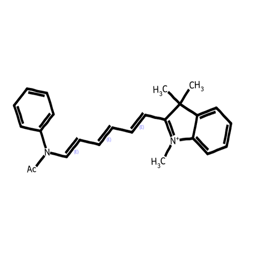 CC(=O)N(/C=C/C=C/C=C/C1=[N+](C)c2ccccc2C1(C)C)c1ccccc1